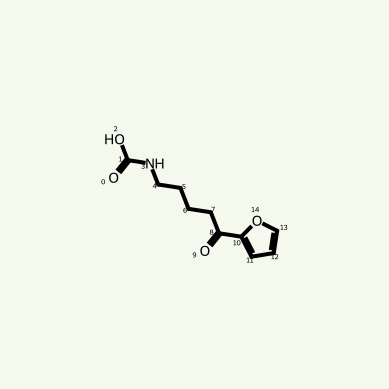 O=C(O)NCCCCC(=O)c1ccco1